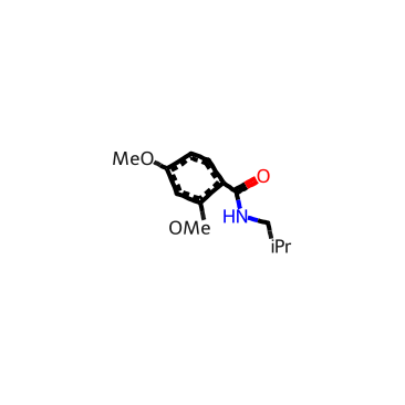 COc1ccc(C(=O)NCC(C)C)c(OC)c1